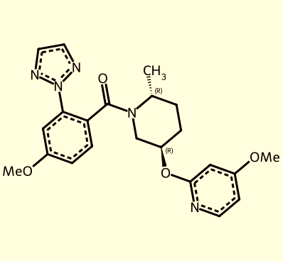 COc1ccnc(O[C@@H]2CC[C@@H](C)N(C(=O)c3ccc(OC)cc3-n3nccn3)C2)c1